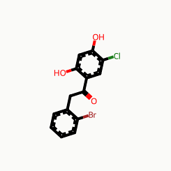 O=C(Cc1ccccc1Br)c1cc(Cl)c(O)cc1O